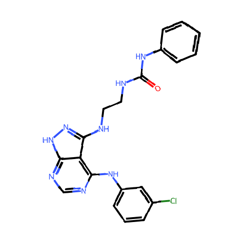 O=C(NCCNc1n[nH]c2ncnc(Nc3cccc(Cl)c3)c12)Nc1ccccc1